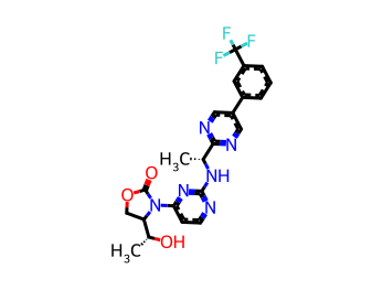 C[C@@H](Nc1nccc(N2C(=O)OCC2[C@@H](C)O)n1)c1ncc(-c2cccc(C(F)(F)F)c2)cn1